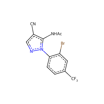 CC(=O)Nc1c(C#N)cnn1-c1ccc(C(F)(F)F)cc1Br